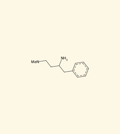 CNCCC(N)Cc1ccccc1